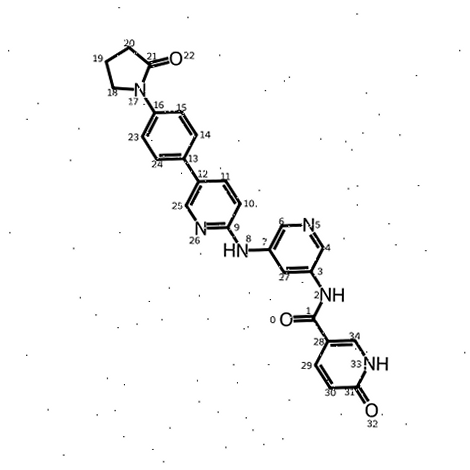 O=C(Nc1cncc(Nc2ccc(-c3ccc(N4CCCC4=O)cc3)cn2)c1)c1ccc(=O)[nH]c1